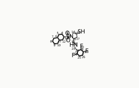 O=S(=O)(c1ccc2ccccc2c1)N1C[C@H](S)C[C@H]1CNCc1c(F)ccc(F)c1F